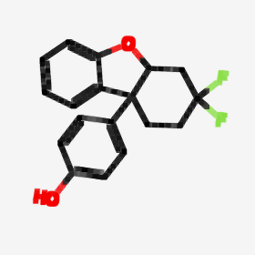 Oc1ccc(C23CCC(F)(F)CC2Oc2ccccc23)cc1